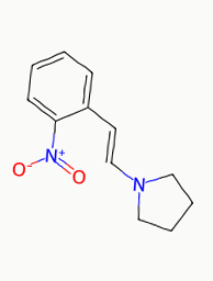 O=[N+]([O-])c1ccccc1/C=C/N1CCCC1